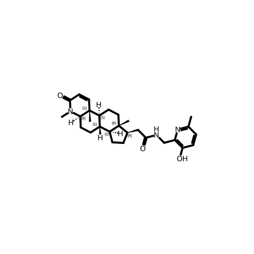 Cc1ccc(O)c(CNC(=O)C[C@H]2CC[C@H]3[C@@H]4CC[C@H]5N(C)C(=O)C=C[C@]5(C)[C@H]4CC[C@]23C)n1